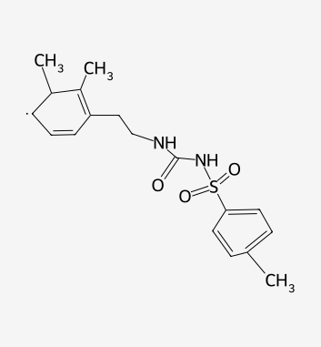 CC1=C(CCNC(=O)NS(=O)(=O)c2ccc(C)cc2)C=C[CH]C1C